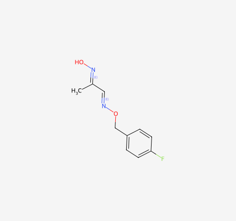 CC(/C=N/OCc1ccc(F)cc1)=N\O